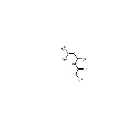 CC(=O)C(CN(C)C)NC(=O)OC(C)(C)C